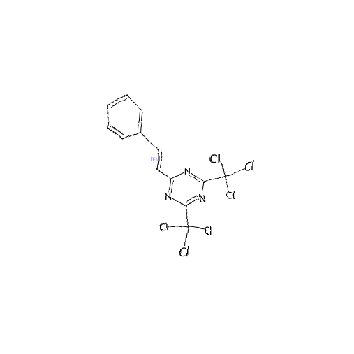 ClC(Cl)(Cl)c1nc(/C=C/c2ccccc2)nc(C(Cl)(Cl)Cl)n1